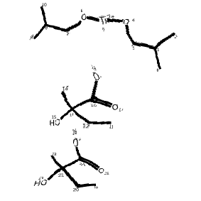 CC(C)C[O][Ti+2][O]CC(C)C.CCC(C)(O)C(=O)[O-].CCC(C)(O)C(=O)[O-]